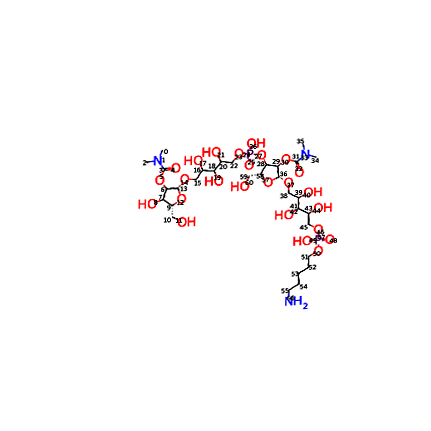 CN(C)C(=O)OC1C(O)[C@@H](CO)O[C@H]1OCC(O)C(O)C(O)COP(=O)(O)OC1C(OC(=O)N(C)C)[C@H](OCC(O)C(O)C(O)COP(=O)(O)OCCCCCN)O[C@@H]1CO